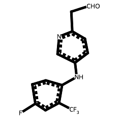 O=CCc1ccc(Nc2ccc(F)cc2C(F)(F)F)cn1